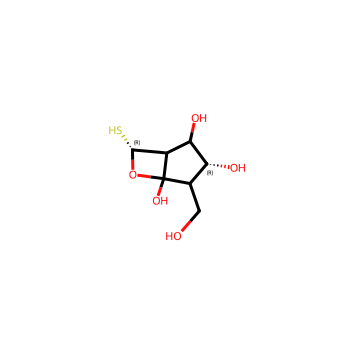 OCC1[C@@H](O)C(O)C2[C@@H](S)OC12O